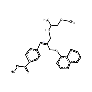 COCC(C)NC/C(=C/c1ccc(C(=O)NO)cc1)COc1cccc2ccccc12